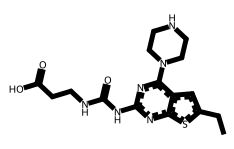 CCc1cc2c(N3CCNCC3)nc(NC(=O)NCCC(=O)O)nc2s1